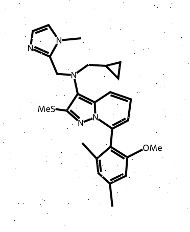 COc1cc(C)cc(C)c1-c1cccc2c(N(Cc3nccn3C)CC3CC3)c(SC)nn12